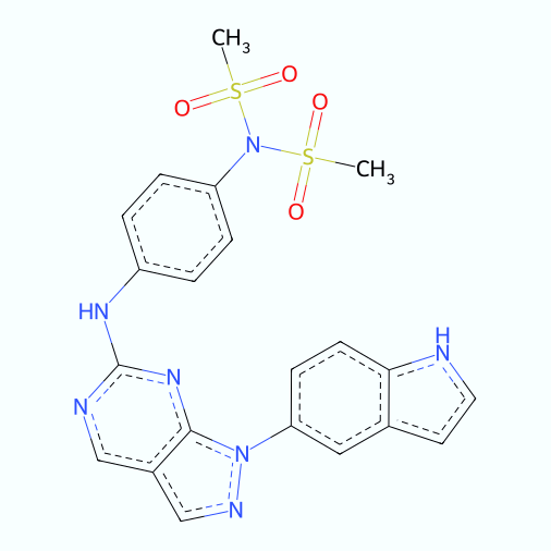 CS(=O)(=O)N(c1ccc(Nc2ncc3cnn(-c4ccc5[nH]ccc5c4)c3n2)cc1)S(C)(=O)=O